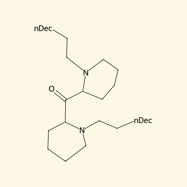 CCCCCCCCCCCCN1CCCCC1C(=O)C1CCCCN1CCCCCCCCCCCC